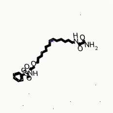 NC(=O)C(=O)NCCCCC/C=C\CCCCCCCOCC(=O)NS(=O)(=O)c1ccccc1